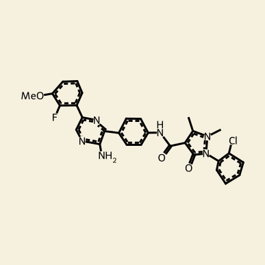 COc1cccc(-c2cnc(N)c(-c3ccc(NC(=O)c4c(C)n(C)n(-c5ccccc5Cl)c4=O)cc3)n2)c1F